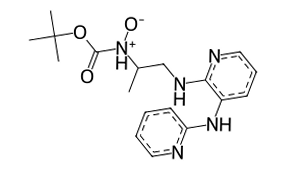 CC(CNc1ncccc1Nc1ccccn1)[NH+]([O-])C(=O)OC(C)(C)C